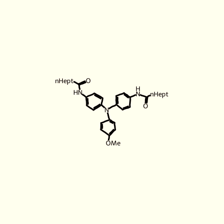 CCCCCCCC(=O)Nc1ccc(N(c2ccc(NC(=O)CCCCCCC)cc2)c2ccc(OC)cc2)cc1